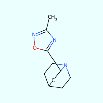 Cc1noc(C2CC3CCN2CC3)n1